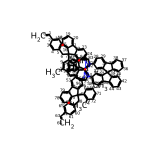 C=Cc1ccc(CC2(c3cc(C)ccc3C)c3ccccc3-c3ccc(N(c4ccc5c(c4)C4(c6ccccc6-5)c5ccccc5-c5ccc(N(c6ccc7c(c6)C(Cc6ccc(C=C)cc6)(c6cc(C)ccc6C)c6ccccc6-7)c6cccc7ccccc67)cc54)c4cccc5ccccc45)cc32)cc1